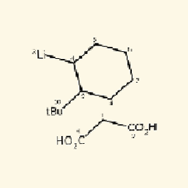 O=C(O)CC(=O)O.[Li][CH]1CCCCC1C(C)(C)C